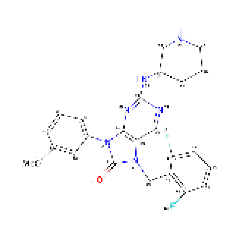 COc1cccc(-n2c(=O)n(Cc3c(F)cccc3F)c3cnc(NC4CCCNC4)nc32)c1